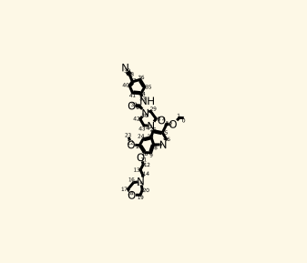 CCOC(=O)c1cnc2cc(OCCCN3CCOCC3)c(OC)cc2c1N1CCN(C(=O)Nc2ccc(C#N)cc2)CC1